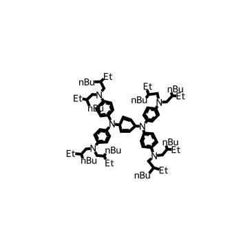 CCCCC(CC)CN(CC(CC)CCCC)c1ccc(N(c2ccc(N(CC(CC)CCCC)CC(CC)CCCC)cc2)C2C=CC(N(c3ccc(N(CC(CC)CCCC)CC(CC)CCCC)cc3)c3ccc(N(CC(CC)CCCC)CC(CC)CCCC)cc3)C=C2)cc1